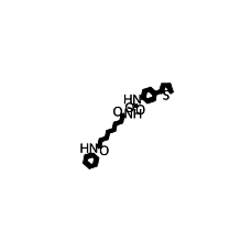 O=C(CCCCCCC(=O)Nc1ccccc1)NOC(=O)Nc1ccc(-c2cccs2)cc1